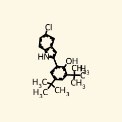 CC(C)(C)c1cc(-c2cc3cc(Cl)ccc3[nH]2)c(O)c(C(C)(C)C)c1